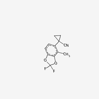 Cc1c(C2(C#N)CC2)ccc2c1OC(F)(F)O2